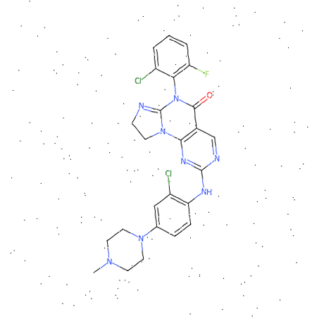 CN1CCN(c2ccc(Nc3ncc4c(n3)N3CCN=C3N(c3c(F)cccc3Cl)C4=O)c(Cl)c2)CC1